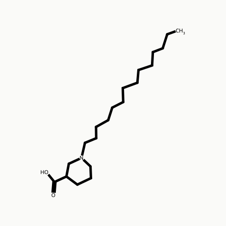 CCCCCCCCCCCCCCN1CCCC(C(=O)O)C1